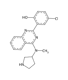 CN(c1nc(-c2cc(Cl)ccc2O)nc2ccccc12)C1CCNC1